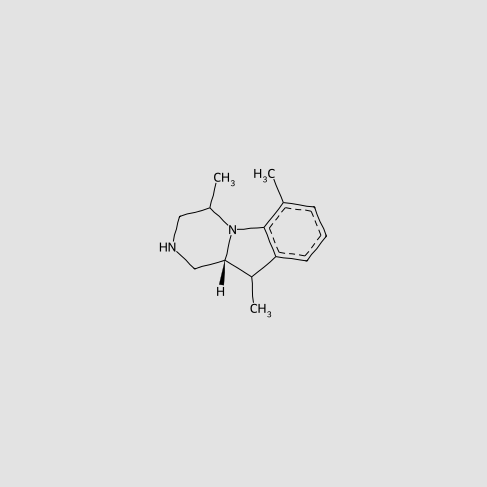 Cc1cccc2c1N1C(C)CNC[C@H]1C2C